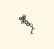 CC(C)=CCCC(C)=CCOc1ccc2cc(C(=O)n3n[n+]([O-])c4ccccc43)ccc2c1